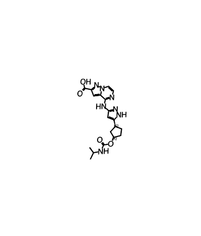 CC(C)NC(=O)O[C@@H]1CC[C@H](c2cc(Nc3nccn4nc(C(=O)O)cc34)n[nH]2)C1